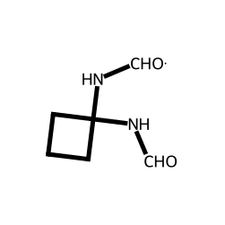 O=[C]NC1(NC=O)CCC1